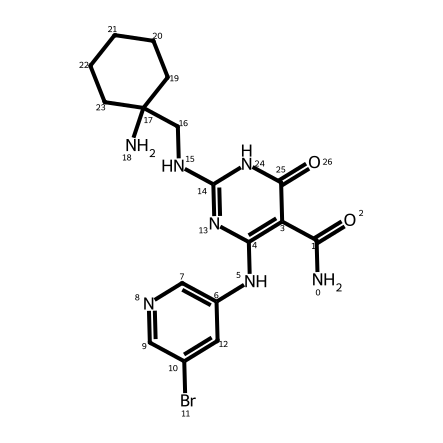 NC(=O)c1c(Nc2cncc(Br)c2)nc(NCC2(N)CCCCC2)[nH]c1=O